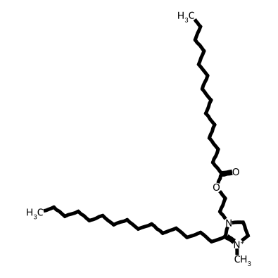 CCCCCCCCCCCCCCCC1=[N+](C)CCN1CCOC(=O)CCCCCCCCCCCCC